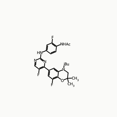 CCC(C)N1CC(C)(C)Oc2c(F)cc(-c3nc(Nc4ccc(NC(C)=O)c(F)c4)ncc3F)cc21